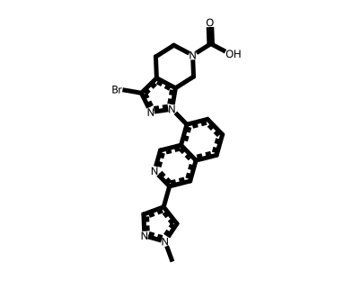 Cn1cc(-c2cc3cccc(-n4nc(Br)c5c4CN(C(=O)O)CC5)c3cn2)cn1